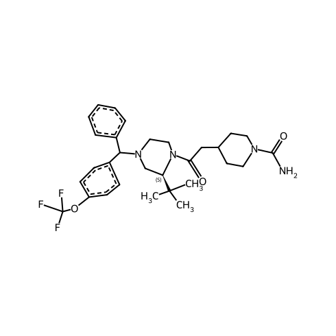 CC(C)(C)[C@H]1CN(C(c2ccccc2)c2ccc(OC(F)(F)F)cc2)CCN1C(=O)CC1CCN(C(N)=O)CC1